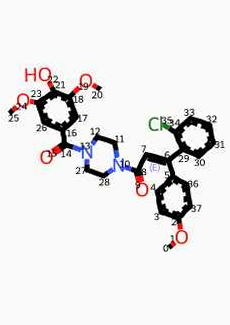 COc1ccc(/C(=C\C(=O)N2CCN(C(=O)c3cc(OC)c(O)c(OC)c3)CC2)c2ccccc2Cl)cc1